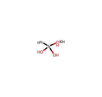 CCC[Si](O)(O)O.[KH]